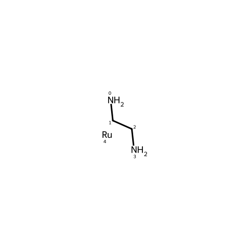 NCCN.[Ru]